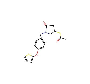 CC(=O)SC1CC(=O)N(Cc2ccc(Oc3cccs3)cc2)C1